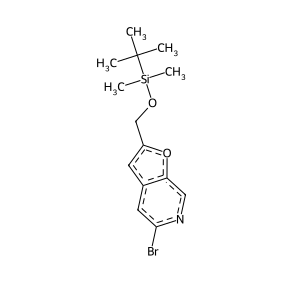 CC(C)(C)[Si](C)(C)OCc1cc2cc(Br)ncc2o1